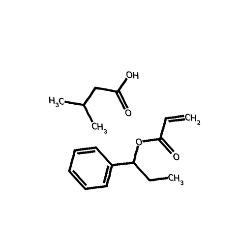 C=CC(=O)OC(CC)c1ccccc1.CC(C)CC(=O)O